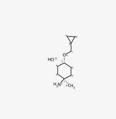 C[C@]1(N)CC[C@H](OCC2CC2)CC1.Cl